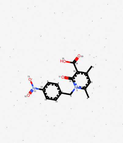 Cc1cc(C)n(Cc2ccc([N+](=O)[O-])cc2)c(=O)c1C(=O)O